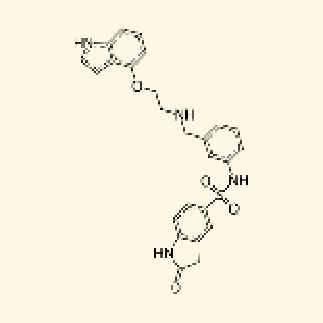 O=C1Cc2cc(S(=O)(=O)Nc3cccc(CNCCOc4cccc5[nH]ccc45)c3)ccc2N1